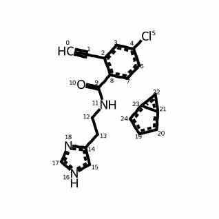 C#Cc1cc(Cl)ccc1C(=O)NCCc1c[nH]cn1.c1cc2cc-2c1